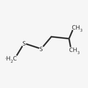 [CH2]SSCC(C)C